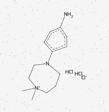 C[N+]1(C)CCCN(c2ccc(N)cc2)CC1.Cl.Cl.[Cl-]